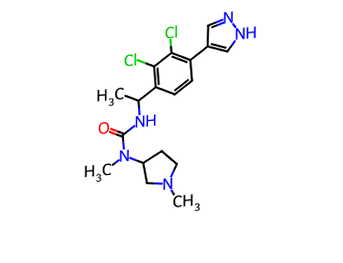 CC(NC(=O)N(C)C1CCN(C)C1)c1ccc(-c2cn[nH]c2)c(Cl)c1Cl